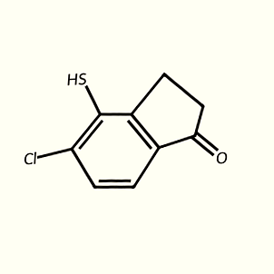 O=C1CCc2c1ccc(Cl)c2S